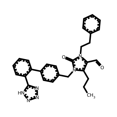 CCCc1c(C=O)n(CCc2ccccc2)c(=O)n1Cc1ccc(-c2ccccc2-c2nnn[nH]2)cc1